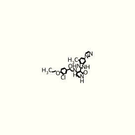 CCCOc1ccc(C(O)CNc2cc[nH]c(=O)c2-c2nc3c(C)cc(-n4ccnc4)cc3[nH]2)cc1Cl